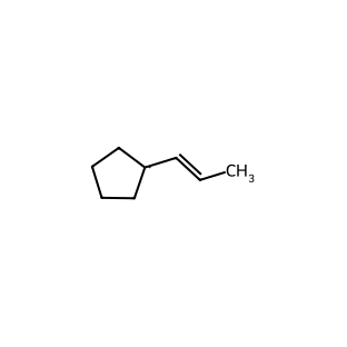 CC=C[C]1CCCC1